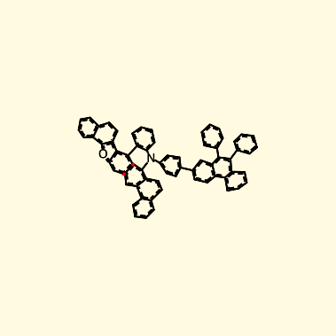 c1ccc(-c2c(-c3ccccc3)c3cc(-c4ccc(N(c5ccccc5-c5cccc6oc7c8ccccc8ccc7c56)c5cccc6c5ccc5ccccc56)cc4)ccc3c3ccccc23)cc1